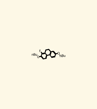 CCCCOc1ccc2c(c1)CCc1c-2ccc(OCCCC)c1F